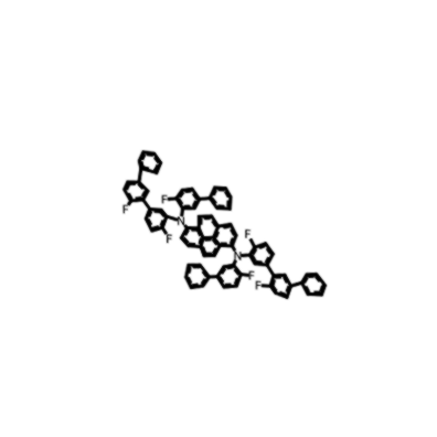 Fc1ccc(-c2ccccc2)cc1-c1ccc(F)c(N(c2cc(-c3ccccc3)ccc2F)c2ccc3ccc4c(N(c5cc(-c6ccccc6)ccc5F)c5cc(-c6cc(-c7ccccc7)ccc6F)ccc5F)ccc5ccc2c3c54)c1